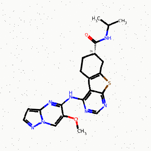 COc1cn2nccc2nc1Nc1ncnc2sc3c(c12)CC[C@H](C(=O)NC(C)C)C3